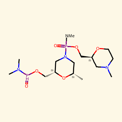 CNP(=O)(OC[C@@H]1CN(C)CCO1)N1C[C@@H](CO[PH](=O)N(C)C)O[C@@H](C)C1